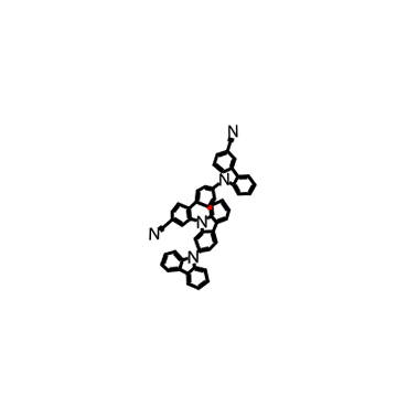 N#Cc1ccc(-c2ccc(-n3c4ccccc4c4cc(C#N)ccc43)cc2)c(-n2c3ccccc3c3ccc(-n4c5ccccc5c5ccccc54)cc32)c1